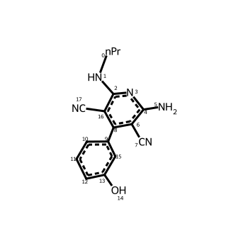 CCCNc1nc(N)c(C#N)c(-c2cccc(O)c2)c1C#N